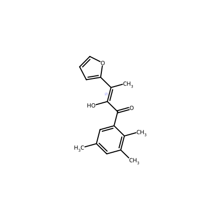 C/C(=C(/O)C(=O)c1cc(C)cc(C)c1C)c1ccco1